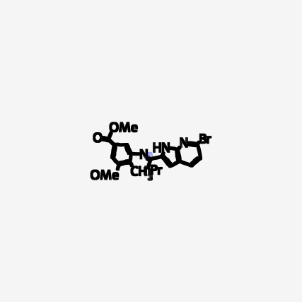 CCC/C(=N\c1cc(C(=O)OC)cc(OC)c1C)c1cc2ccc(Br)nc2[nH]1